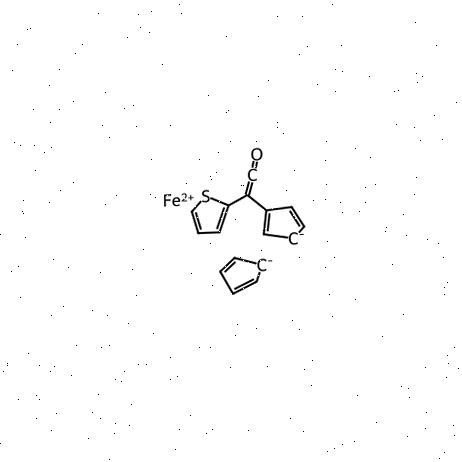 O=C=C(c1cc[cH-]c1)c1cccs1.[Fe+2].c1cc[cH-]c1